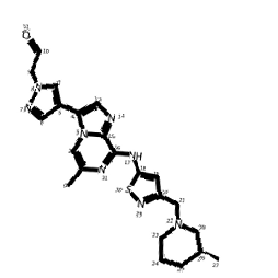 Cc1cn2c(-c3cnn(CC=O)c3)cnc2c(Nc2cc(CN3CCC[C@H](C)C3)ns2)n1